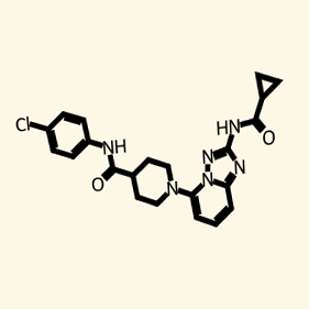 O=C(Nc1ccc(Cl)cc1)C1CCN(c2cccc3nc(NC(=O)C4CC4)nn23)CC1